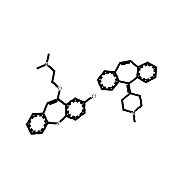 CN(C)CCOC1=Cc2ccccc2Sc2ccc(Cl)cc21.CN1CCC(=C2c3ccccc3C=Cc3ccccc32)CC1